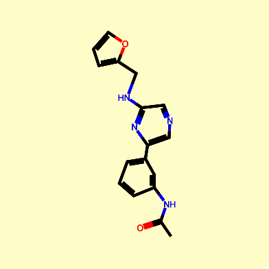 CC(=O)Nc1cccc(-c2cncc(NCc3ccco3)n2)c1